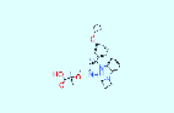 CC(C)(OCC(=N)/C=C(\Nc1ccccc1N1CCC1)c1cccc(OC2CCC2)c1)C(=O)O